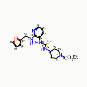 CCOC(=O)N1CCC(NC(=S)Nc2cccnc2NCc2ccco2)CC1